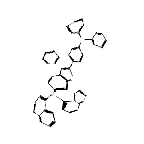 c1ccc(-c2c(-c3ccc(N(c4ccccc4)c4ccccc4)cc3)sc3cc(N(c4cccc5ccccc45)c4cccc5ccccc45)ccc23)cc1